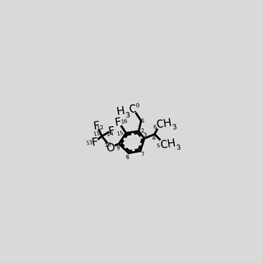 CCc1c(C(C)C)ccc(OC(F)(F)F)c1F